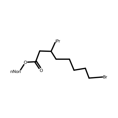 CCCCCCCCCOC(=O)CC(CCCCCBr)C(C)C